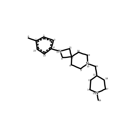 Cc1ccc(N2CC3(CCN(CC4CCN(C)CC4)CC3)C2)cc1